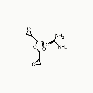 C(OCC1CO1)C1CO1.C=O.NC(N)=O